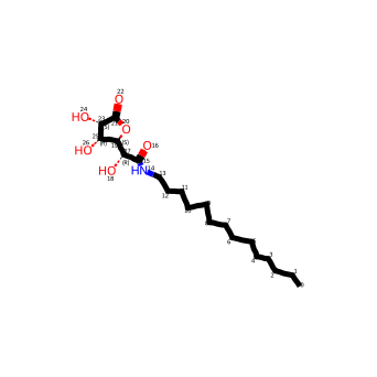 CCCCCCCCCCCCCCNC(=O)[C@H](O)[C@H]1OC(=O)[C@@H](O)[C@H]1O